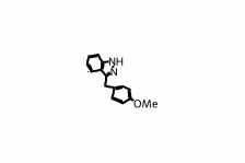 COc1ccc(Cc2n[nH]c3ccc[c]c23)cc1